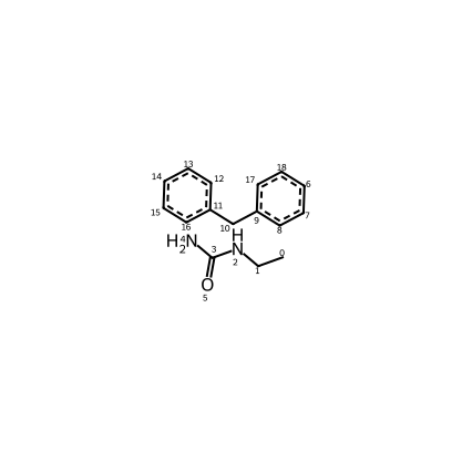 CCNC(N)=O.c1ccc(Cc2ccccc2)cc1